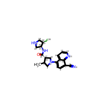 CC1CN(c2ccc(C#N)c3ncccc23)C[C@H]1C(=O)N[C@H]1CNC[C@H]1F